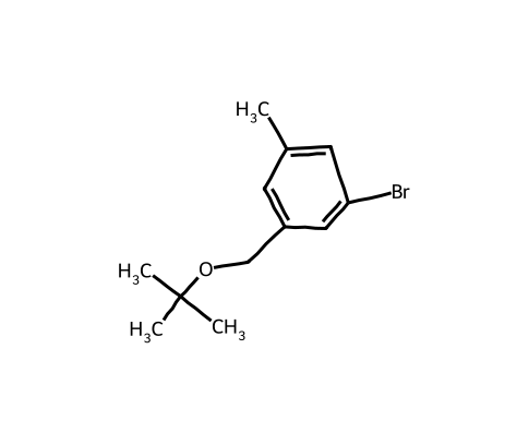 Cc1cc(Br)cc(COC(C)(C)C)c1